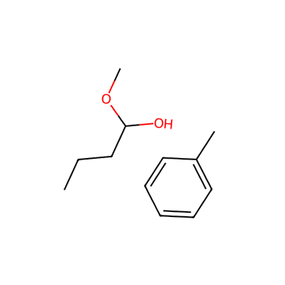 CCCC(O)OC.Cc1ccccc1